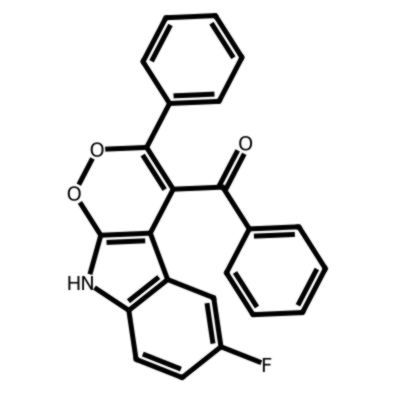 O=C(C1=C(c2ccccc2)OOc2[nH]c3ccc(F)cc3c21)c1ccccc1